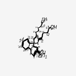 Bc1ccc2c(c1)C(CCCCCCO)(CCCCCCO)c1ccccc1-2